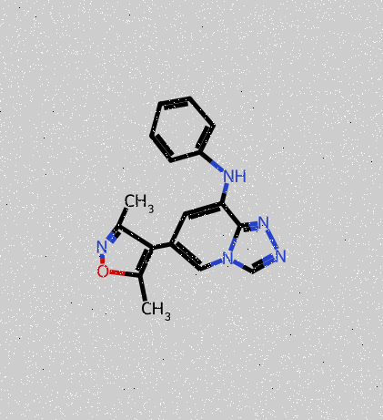 Cc1noc(C)c1-c1cc(Nc2ccccc2)c2nncn2c1